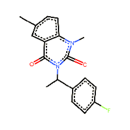 Cc1ccc2c(c1)c(=O)n(C(C)c1ccc(F)cc1)c(=O)n2C